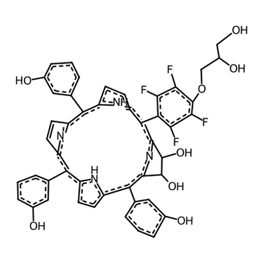 OCC(O)COc1c(F)c(F)c(-c2c3nc(c(-c4cccc(O)c4)c4ccc([nH]4)c(-c4cccc(O)c4)c4nc(c(-c5cccc(O)c5)c5ccc2[nH]5)C=C4)C(O)C3O)c(F)c1F